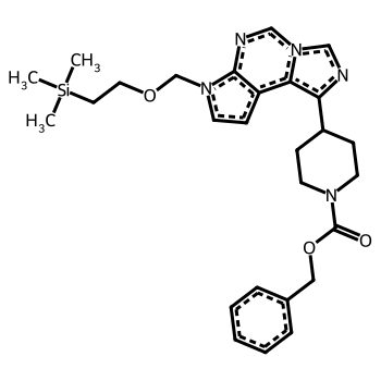 C[Si](C)(C)CCOCn1ccc2c1ncn1cnc(C3CCN(C(=O)OCc4ccccc4)CC3)c21